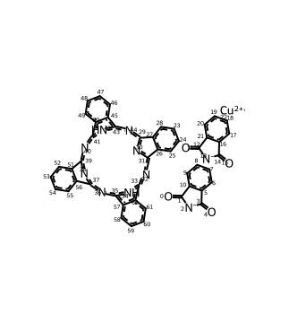 O=C1[N-]C(=O)c2ccccc21.O=C1[N-]C(=O)c2ccccc21.[Cu+2].c1ccc2c(c1)-c1nc-2nc2[nH]c(nc3nc(nc4[nH]c(n1)c1ccccc41)-c1ccccc1-3)c1ccccc21